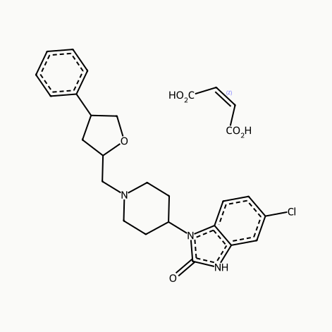 O=C(O)/C=C\C(=O)O.O=c1[nH]c2cc(Cl)ccc2n1C1CCN(CC2CC(c3ccccc3)CO2)CC1